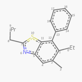 CCc1c(C)cc2nc(CC(C)C)sc2c1-c1ccccc1